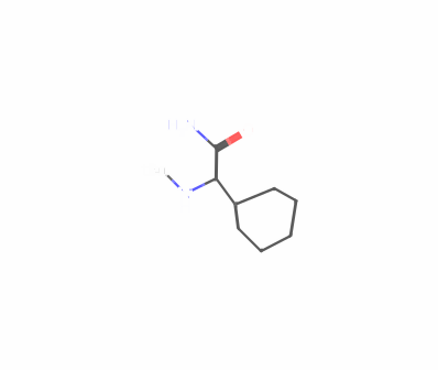 CC(C)(C)NC(C(N)=O)C1CCCCC1